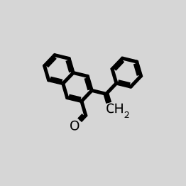 C=C(c1ccccc1)c1cc2ccccc2cc1C=O